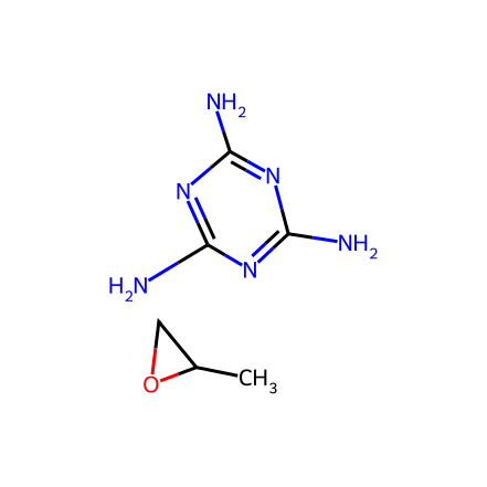 CC1CO1.Nc1nc(N)nc(N)n1